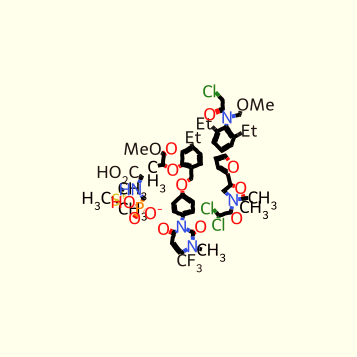 CC1(C)OC(c2ccco2)CN1C(=O)C(Cl)Cl.CCc1ccc(COc2ccc(-n3c(=O)cc(C(F)(F)F)n(C)c3=O)cc2)c(OC(C)C(=O)OC)c1.CCc1cccc(CC)c1N(COC)C(=O)CCl.C[S+](C)C.O=C(O)CNCP(=O)([O-])O